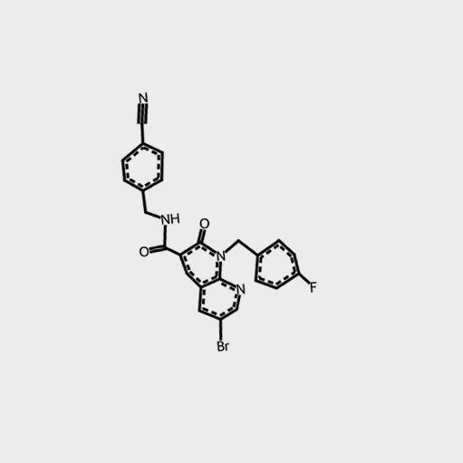 N#Cc1ccc(CNC(=O)c2cc3cc(Br)cnc3n(Cc3ccc(F)cc3)c2=O)cc1